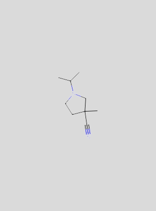 CC(C)N1CCC(C)(C#N)C1